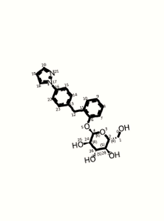 OC[C@H]1O[C@H](Oc2ccccc2Cc2ccc(-n3cccn3)cc2)[C@H](O)[C@@H](O)[C@@H]1O